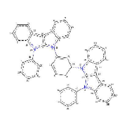 C1=CC(n2c3ccccc3c3c4ccccc4n(-c4ccccc4)c32)=C[C@H](n2c3ccccc3c3c4ccccc4n(-c4ccccc4)c32)C1